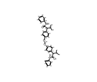 CC(C)C(C(=O)Nc1ccccc1)c1ccc(OCOc2ccc(C(C(=O)Nc3ccccc3)C(C)C)cc2)cc1